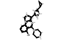 Brc1cccc2c1c(N1CCOCC1)nc1c(-c3nc(C4CC4)no3)ncn12